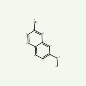 COc1ccc2ccc(S)cc2c1